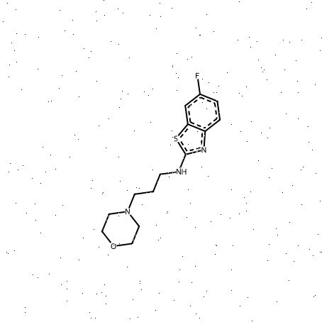 Fc1ccc2nc(NCCCN3CCOCC3)sc2c1